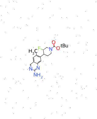 Cc1cc2cnc(N)nc2cc1C1CCN(C(=O)OC(C)(C)C)C[C@@H]1F